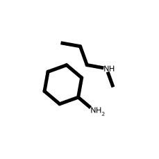 CCCNC.NC1CCCCC1